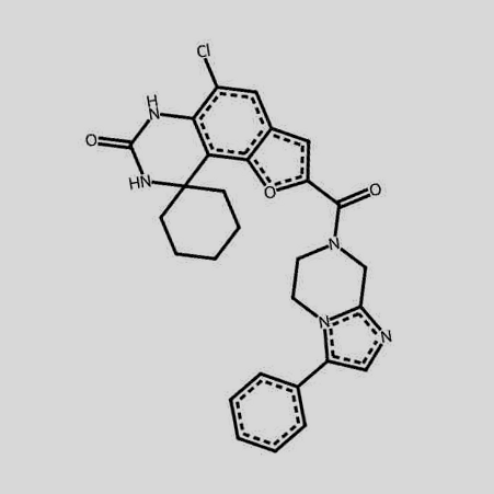 O=C1Nc2c(Cl)cc3cc(C(=O)N4CCn5c(-c6ccccc6)cnc5C4)oc3c2C2(CCCCC2)N1